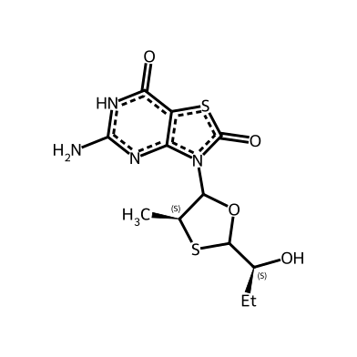 CC[C@H](O)C1OC(n2c(=O)sc3c(=O)[nH]c(N)nc32)[C@H](C)S1